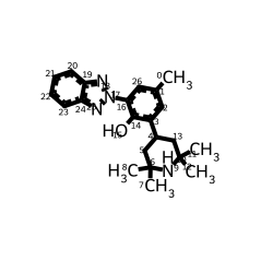 Cc1cc(C2CC(C)(C)NC(C)(C)C2)c(O)c(-n2nc3ccccc3n2)c1